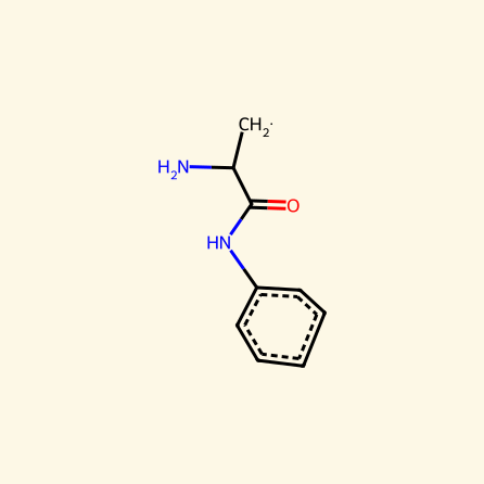 [CH2]C(N)C(=O)Nc1ccccc1